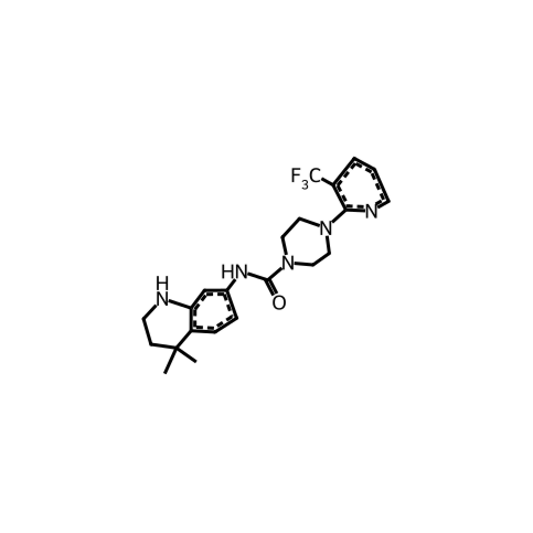 CC1(C)CCNc2cc(NC(=O)N3CCN(c4ncccc4C(F)(F)F)CC3)ccc21